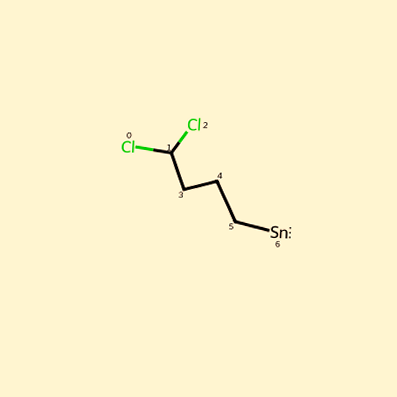 ClC(Cl)CC[CH2][Sn]